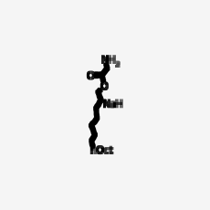 CCCCCCCCCCCCCCCOC(=O)CN.[NaH]